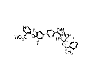 C[C@@H](OC(=O)Nc1c(-c2ccc(-c3cc(F)c(Oc4ccncc4C(=O)O)c(F)c3)cc2)nnn1C)c1ccccc1